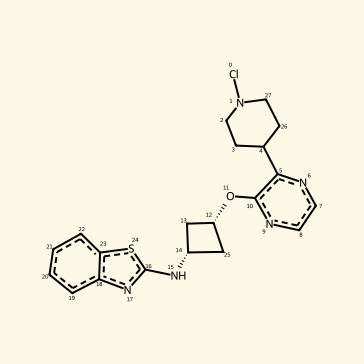 ClN1CCC(c2nccnc2O[C@H]2C[C@@H](Nc3nc4ccccc4s3)C2)CC1